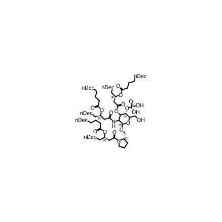 CCCCCCCCCCCCCC(=O)O[C@H](CCCCCCCCCCC)CC(=O)NC1C(OC(=O)C[C@@H](CCCCCCCCCCC)OC(=O)CCCCCCCCCCCCC)[C@H](OP(=O)(O)O)C(CO)O[C@H]1OC[C@@H]1CCCN1C(=O)C[C@@H](CCCCCCCCCCC)OC(=O)CCCCCCCCCCCCC